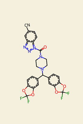 N#Cc1ccc2c(c1)nnn2C(=O)N1CCN(C(c2ccc3c(c2)OC(F)(F)O3)c2ccc3c(c2)OC(F)(F)O3)CC1